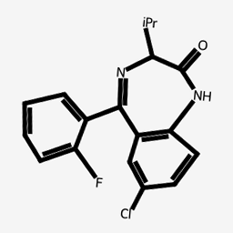 CC(C)C1N=C(c2ccccc2F)c2cc(Cl)ccc2NC1=O